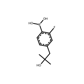 CC(C)(O)Cc1ccc(B(O)O)c(F)c1